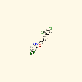 O=C(CCc1ccc(-c2ccc(Cl)cc2Cl)cc1)Nc1ccc(C(F)(F)F)cc1